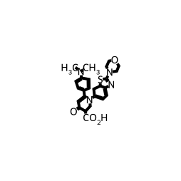 CN(C)c1ccc(C2=CC(=O)C(C(=O)O)CN2C2=CC=C3N=C(N4CCOCC4)SC3C2)cc1